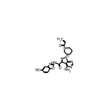 C=CC(=O)N1CCC[C@@H](n2nc(C(=O)Nc3nc4cc(C#N)ccc4o3)c3c(N)ncnc32)C1